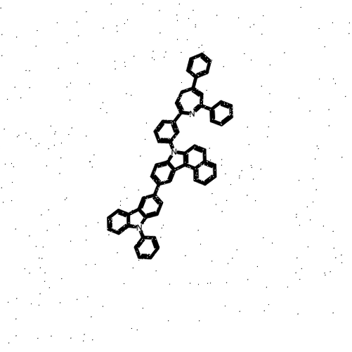 C1=C(c2ccccc2)CC=C(c2cccc(-n3c4ccc(-c5ccc6c(c5)c5ccccc5n6-c5ccccc5)cc4c4c5ccccc5ccc43)c2)N=C1c1ccccc1